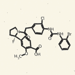 COc1cc([C@@]2(F)CCCN2C(=O)Cc2ccc(NC(=O)Nc3ccccc3Br)c(Cl)c2)ccc1C(=O)O